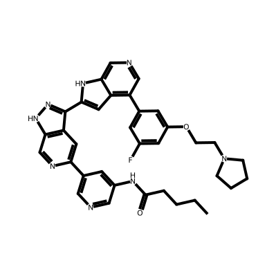 CCCCC(=O)Nc1cncc(-c2cc3c(-c4cc5c(-c6cc(F)cc(OCCN7CCCC7)c6)cncc5[nH]4)n[nH]c3cn2)c1